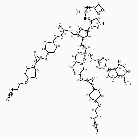 [N-]=[N+]=NCCOC1CCC(C2OC2OC2CCC(CS[P@@](N)OC[C@H]3O[C@@H](N4CNC5C6OCC6NC(N)NC54)CC3/C=N/P(=O)(OC[C@@H]3CC[C@H](N4CNC5C(N)NCNC54)O3)SCC3CCC(OC4OC4C4CCC(OCCN=[N+]=[N-])CC4)CC3)CC2)CC1